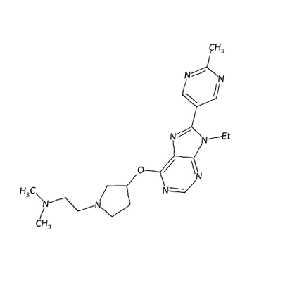 CCn1c(-c2cnc(C)nc2)nc2c(OC3CCN(CCN(C)C)C3)ncnc21